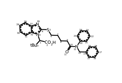 CC(C)(C)C(C(=O)O)n1c(SCCCCC(=O)N(Cc2ccccc2)c2ccccc2)nc2ccccc21